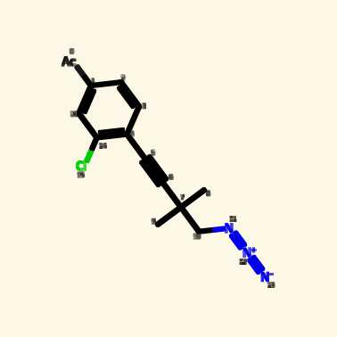 CC(=O)c1ccc(C#CC(C)(C)CN=[N+]=[N-])c(Cl)c1